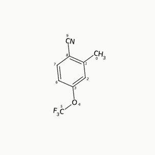 Cc1cc(OC(F)(F)F)ccc1C#N